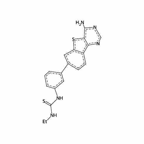 CCNC(=S)Nc1cccc(-c2ccc3c(c2)sc2c(N)ncnc23)c1